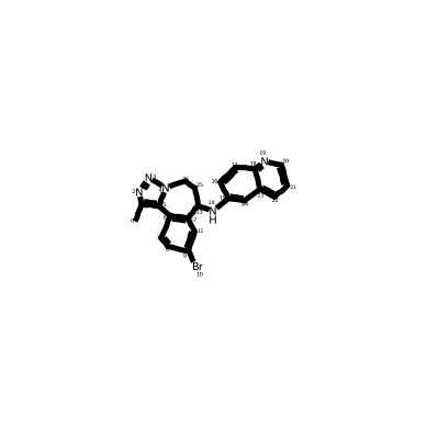 Cc1nnn2c1-c1ccc(Br)cc1C(Nc1ccc3ncccc3c1)CC2